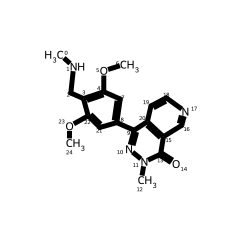 CNCc1c(OC)cc(-c2nn(C)c(=O)c3cnccc23)cc1OC